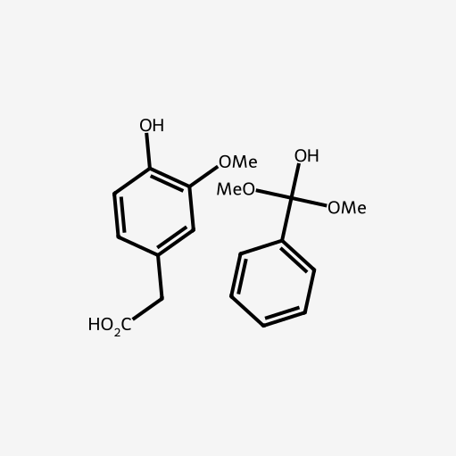 COC(O)(OC)c1ccccc1.COc1cc(CC(=O)O)ccc1O